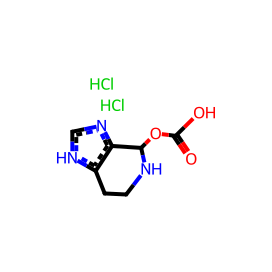 Cl.Cl.O=C(O)OC1NCCc2[nH]cnc21